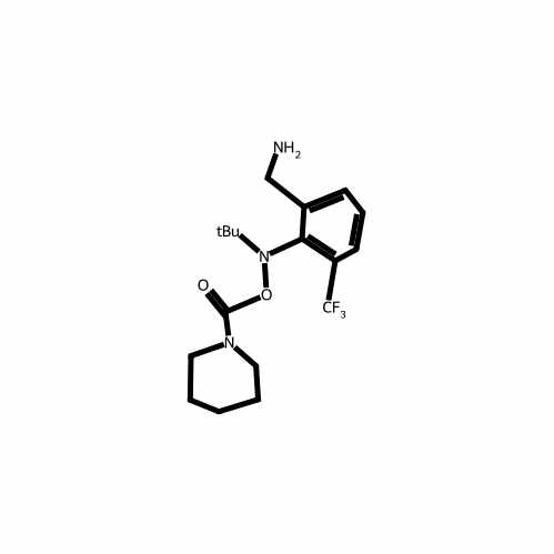 CC(C)(C)N(OC(=O)N1CCCCC1)c1c(CN)cccc1C(F)(F)F